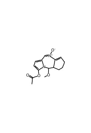 COC1C2CCCC=C2[N+]([O-])=Cc2ccc(OC(C)=O)n21